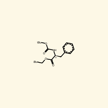 CCC(C)COC(=O)[C@H](Cc1ccccc1)NC(=O)OC(C)(C)C